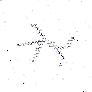 CCCCC/C=C\CCCCCN(CCCCC/C=C\CCCCC)CCN1CCN(CCN(CCCCCCCCCCCC)CCN(CCCCCCCCCCCC)CCCCCCCCCCCC)CC1